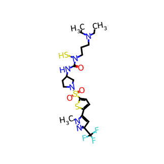 CCN(CC)CCCN(S)C(=O)NC1CCN(S(=O)(=O)c2ccc(-c3cc(C(F)(F)F)nn3C)s2)C1